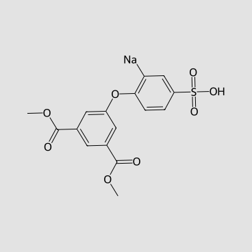 COC(=O)c1cc(Oc2ccc(S(=O)(=O)O)c[c]2[Na])cc(C(=O)OC)c1